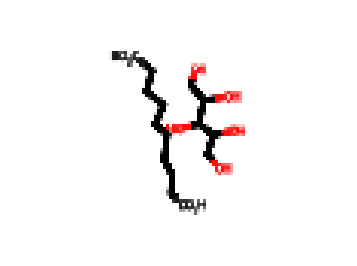 O=C(O)CCCCCCCCC(=O)O.OCC(O)C(O)C(O)CO